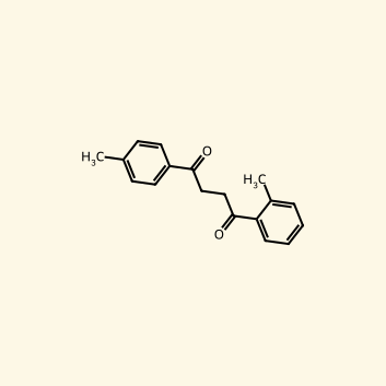 Cc1ccc(C(=O)CCC(=O)c2ccccc2C)cc1